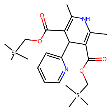 CC1=C(C(=O)OC[Si](C)(C)C)C(c2ccccn2)C(C(=O)OC[Si](C)(C)C)=C(C)N1